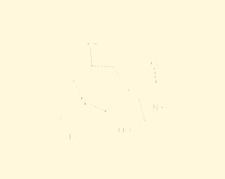 CC1CCCN(C)C1.CCCCC.O.O